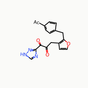 CC(=O)c1ccc(Cc2occc2CC(=O)C(=O)c2nc[nH]n2)cc1